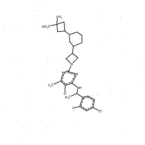 CC(Nc1nc(N2CC(C3CCCN(C4CC(C)(C(=O)O)C4)C3)C2)nc(C(F)(F)F)c1Cl)c1ccc(Cl)cc1Cl